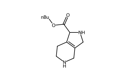 CCCCOC(=O)C1NCC2=C1CCNC2